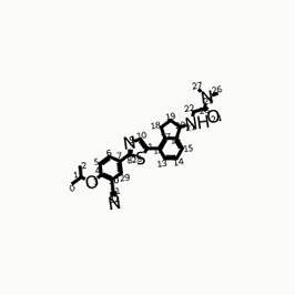 CC(C)Oc1ccc(-c2ncc(-c3cccc4c3CCC4NCC(=O)N(C)C)s2)cc1C#N